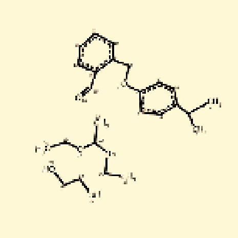 CC(C)c1ccc(OCc2ccccc2C=O)cc1.CCOC(C)OCC.OCCO